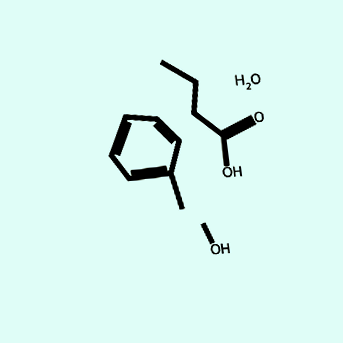 CCCC(=O)O.CO.Cc1ccccc1.O